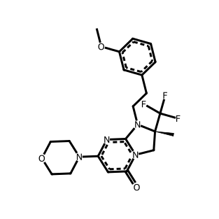 COc1cccc(CCN2c3nc(N4CCOCC4)cc(=O)n3C[C@@]2(C)C(F)(F)F)c1